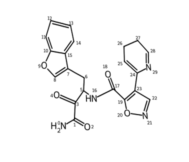 NC(=O)C(=O)C(Cc1coc2ccccc12)NC(=O)c1oncc1C1=CCCC=N1